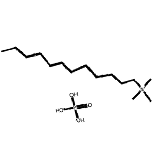 CCCCCCCCCCCC[N+](C)(C)C.O=P(O)(O)O